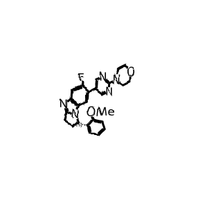 COc1ccccc1[C@@H]1CCc2nc3cc(F)c(-c4cnc(N5CCOCC5)nc4)cc3n21